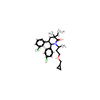 CC(CCOCC1CC1)N1C(=O)C(C)(CC(=O)O)CC(c2cccc(Cl)c2)C1c1ccc(Cl)cc1